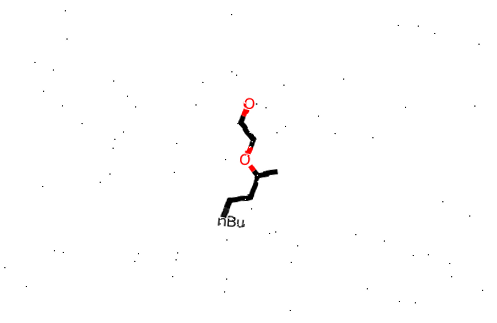 CCCCCCC(C)OCC[O]